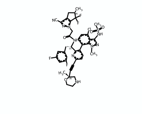 C[C@@H]1Cc2c(C#N)nn(CC(=O)N[C@@H](Cc3cc(F)cc(F)c3)c3nc(C#C[C@]4(C)CNCCO4)ccc3-c3ccc(Cl)c4c(NS(C)(=O)=O)nn(C)c34)c2C1(F)F